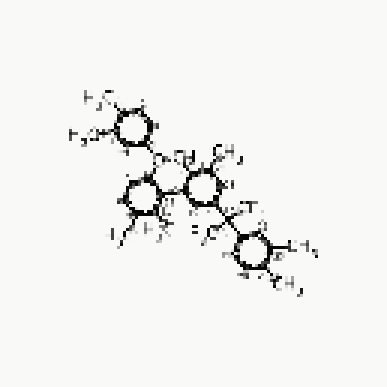 Cc1ccc(Oc2ccc(C)c(C)c2-c2cc(C(c3ccc(C)c(C)c3)(C(F)(F)F)C(F)(F)F)cc(C)c2C)cc1C